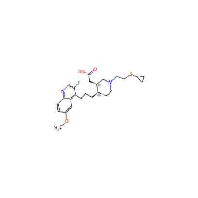 COc1ccc2ncc(F)c(CCC[C@@H]3CCN(CCSC4CC4)C[C@@H]3CC(=O)O)c2c1